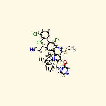 CSc1nc2c(F)c(-c3cccc(Cl)c3Cl)c(CCC#N)cc2c2c1cc([C@@H](C)n1ccncc1=O)n2[C@@H]1[C@@H]2CC[C@H]1C2